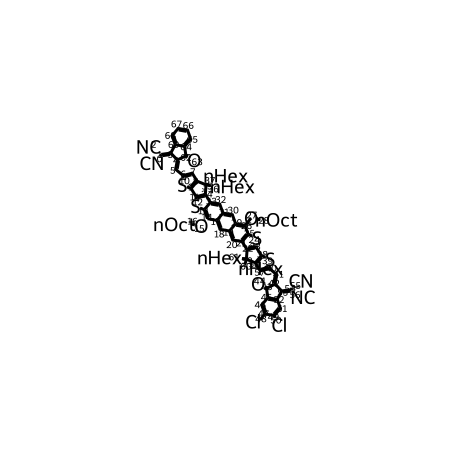 [C-]#[N+]/C(C#N)=C1\C(=C\c2cc3c(s2)-c2sc4c(OCCCCCCCC)c5cc6cc7c8c(sc7c(OCCCCCCCC)c6cc5cc4c2C3(CCCCCC)CCCCCC)-c2sc(/C=C3\C(=O)c4cc(Cl)c(Cl)cc4\C3=C(\C#N)[N+]#[C-])cc2C8(CCCCCC)CCCCCC)C(=O)c2ccccc21